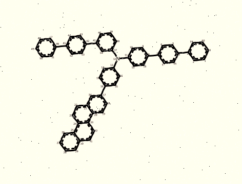 c1ccc(-c2ccc(-c3ccc(N(c4ccc(-c5ccc6c(ccc7c8ccccc8ccc67)c5)cc4)c4cccc(-c5ccc(-c6ccccc6)cc5)c4)cc3)cc2)cc1